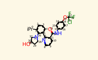 CC(C)c1cccc(-c2ncccc2C(=O)Nc2ccc(OC(F)(F)Cl)cc2)c1N1CC[C@@H](O)C1